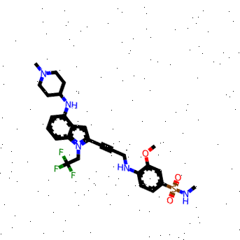 CNS(=O)(=O)c1ccc(NCC#Cc2cc3c(NC4CCN(C)CC4)cccc3n2CC(F)(F)F)c(OC)c1